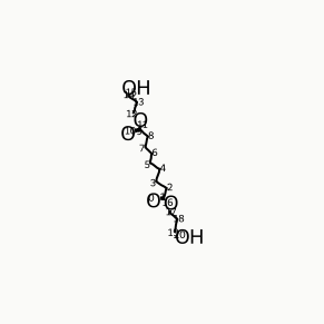 O=C(CCCCCCCC(=O)OCCCO)OCCCO